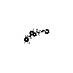 O=C(N[C@H]1CCc2c(C(=O)Nc3ccc(F)c(Cl)c3)ccc(F)c21)OCCN1CCCCC1